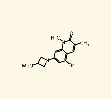 COC1CN(c2cc(Br)c3cc(C)c(=O)n(C)c3c2)C1